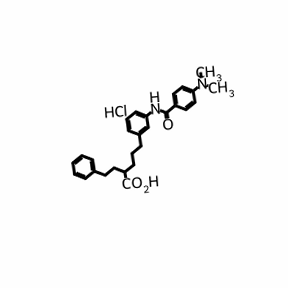 CN(C)c1ccc(C(=O)Nc2cccc(CCCC(CCc3ccccc3)C(=O)O)c2)cc1.Cl